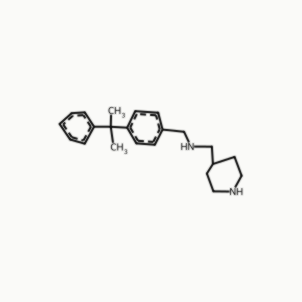 CC(C)(c1ccccc1)c1ccc(CNCC2CCNCC2)cc1